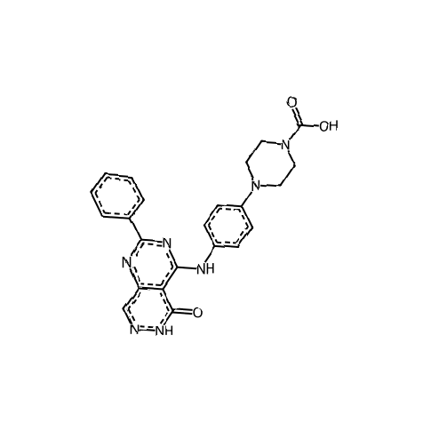 O=C(O)N1CCN(c2ccc(Nc3nc(-c4ccccc4)nc4cn[nH]c(=O)c34)cc2)CC1